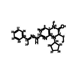 CCC1C(=O)N(C)c2cnc(N/N=C(\C)c3ccccc3)nc2N1C1CCCC1